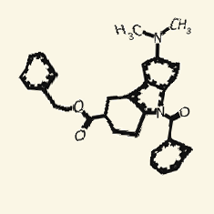 CN(C)c1ccc2c(c1)c1c(n2C(=O)c2ccccc2)CCC(C(=O)OCc2ccccc2)C1